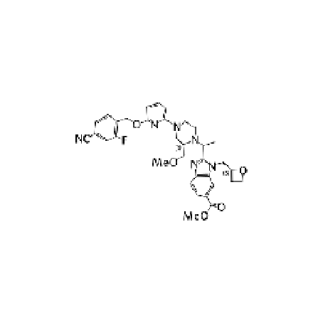 COC[C@H]1CN(c2cccc(OCc3ccc(C#N)cc3F)n2)CCN1C(C)c1nc2ccc(C(=O)OC)cc2n1C[C@@H]1CCO1